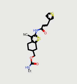 CCNC(=O)OCC1CCc2c(sc(NC(=O)C=Cc3ccsc3)c2C#N)C1